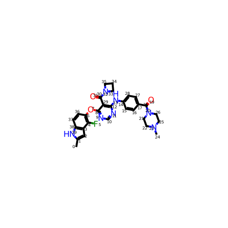 Cc1cc2c(F)c(Oc3ncnc(Nc4ccc(C(=O)N5CCN(C)CC5)cc4)c3C(=O)N3CCC3)ccc2[nH]1